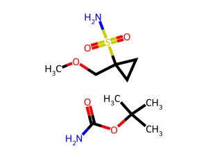 CC(C)(C)OC(N)=O.COCC1(S(N)(=O)=O)CC1